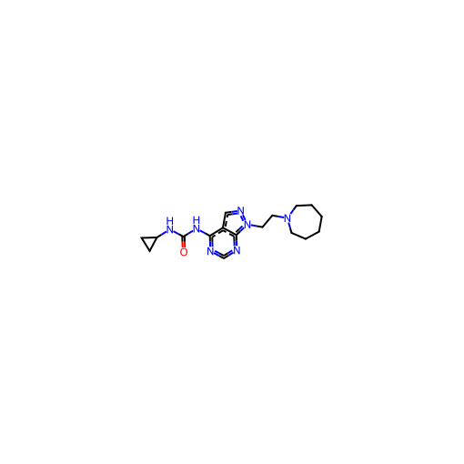 O=C(Nc1ncnc2c1cnn2CCN1CCCCCC1)NC1CC1